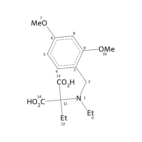 CCN(Cc1ccc(OC)cc1OC)C(CC)(C(=O)O)C(=O)O